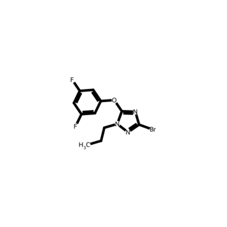 CCCn1nc(Br)nc1Oc1cc(F)cc(F)c1